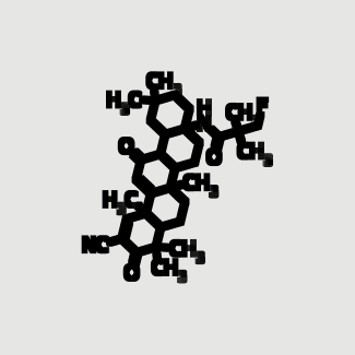 CC1(C)CCC2(NC(=O)C(C)(C)CF)CCC3C(C(=O)C=C4C5(C)C=C(C#N)C(=O)C(C)(C)C5CCC43C)C2C1